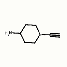 C#CN1CCC(N)CC1